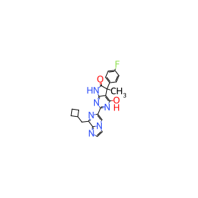 CC1(c2ccc(F)cc2)C(=O)Nc2nc(-c3cn4ccnc4c(CC4CCC4)n3)nc(O)c21